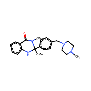 CON1C(=O)c2ccccc2NC1(OC)c1ccc(CN2CCN(C)CC2)cc1